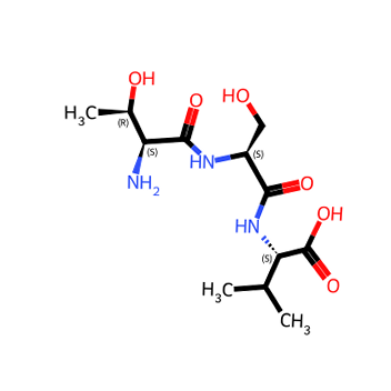 CC(C)[C@H](NC(=O)[C@H](CO)NC(=O)[C@@H](N)[C@@H](C)O)C(=O)O